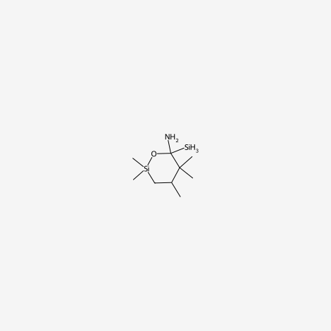 CC1C[Si](C)(C)OC(N)([SiH3])C1(C)C